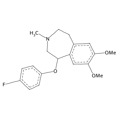 COc1cc2c(cc1OC)C(Oc1ccc(F)cc1)CN(C)CC2